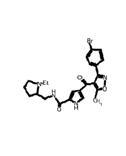 CCN1CCCC1CNC(=O)c1cc(C(=O)c2c(-c3ccc(Br)cc3)noc2C)c[nH]1